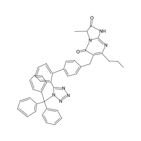 CCCc1nc2n(c(=O)c1Cc1ccc(-c3ccccc3-c3nnnn3C(c3ccccc3)(c3ccccc3)c3ccccc3)cc1)C(C)C(=O)N2